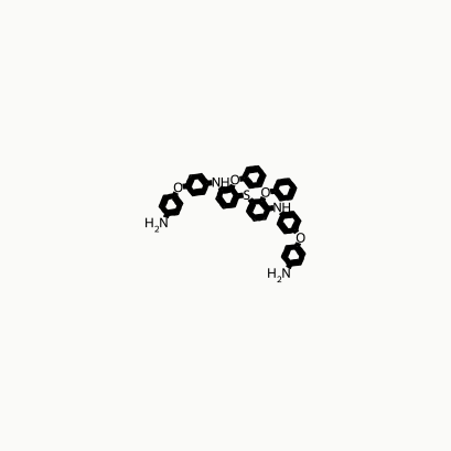 Nc1ccc(Oc2ccc(Nc3cccc(Sc4cccc(Nc5ccc(Oc6ccc(N)cc6)cc5)c4Oc4ccccc4)c3Oc3ccccc3)cc2)cc1